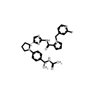 CC(=O)N[C@@H](C)c1ccc(N2CCC[C@@H]2c2csc(NC(=O)c3cccn3Cc3ccnc(F)c3)n2)cc1